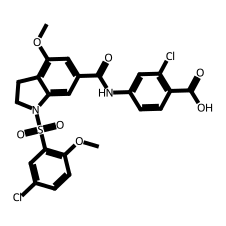 COc1ccc(Cl)cc1S(=O)(=O)N1CCc2c(OC)cc(C(=O)Nc3ccc(C(=O)O)c(Cl)c3)cc21